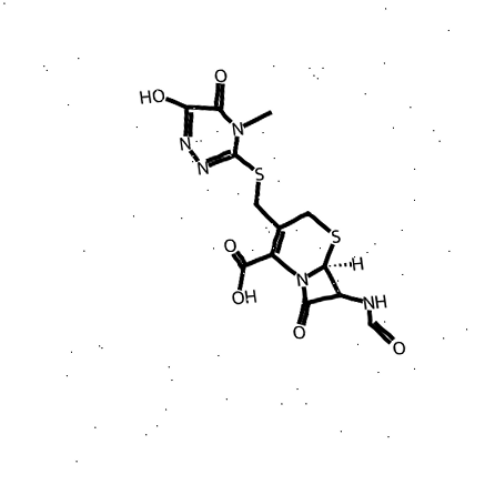 Cn1c(SCC2=C(C(=O)O)N3C(=O)C(NC=O)[C@@H]3SC2)nnc(O)c1=O